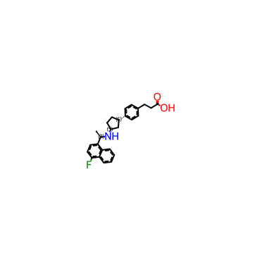 C[C@@H](N[C@H]1CC[C@H](c2ccc(CCC(=O)O)cc2)C1)c1ccc(F)c2ccccc12